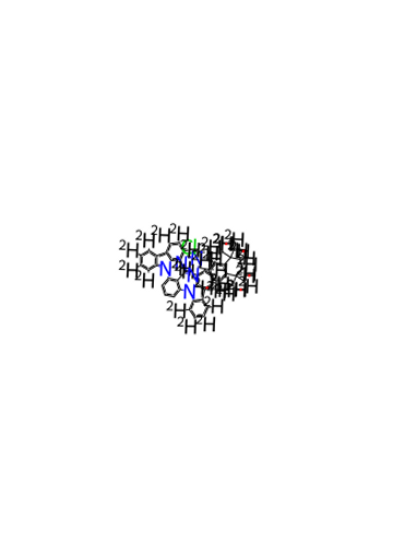 [2H]c1c([2H])c2c(c([2H])c1-c1nc(Cl)nc(-c3c(-n4c5c([2H])c([2H])c([2H])c([2H])c5c5c([2H])c([2H])c([2H])c([2H])c54)cccc3-n3c4c([2H])c([2H])c([2H])c([2H])c4c4c([2H])c([2H])c([2H])c([2H])c43)n1)C(C([2H])([2H])[2H])(C([2H])([2H])[2H])C([2H])([2H])C([2H])([2H])C2(C([2H])([2H])[2H])C([2H])([2H])[2H]